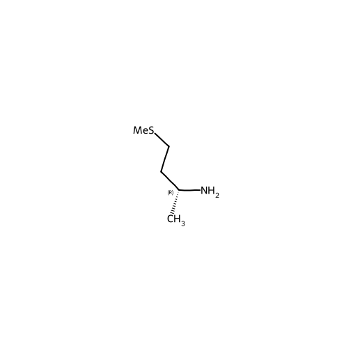 CSCC[C@@H](C)N